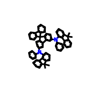 CC1(C)c2ccccc2-c2c(N(c3ccccc3)c3ccc4c(c3)-c3cc(N(c5ccccc5)c5cccc6c5-c5ccccc5C6(C)C)ccc3C43c4ccccc4-c4ccccc43)cccc21